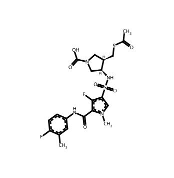 CC(=O)SC[C@@H]1CN(C(=O)O)C[C@@H]1NS(=O)(=O)c1cn(C)c(C(=O)Nc2ccc(F)c(C)c2)c1F